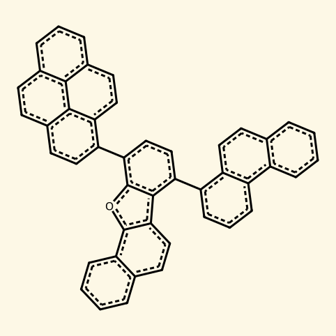 c1ccc2c(c1)ccc1c(-c3ccc(-c4ccc5ccc6cccc7ccc4c5c67)c4oc5c6ccccc6ccc5c34)cccc12